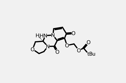 CC(C)(C)C(=O)OCOc1c2n(ccc1=O)N[C@@H]1COCCN1C2=O